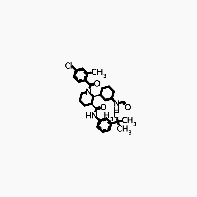 Cc1cc(Cl)ccc1C(=O)N1CCC[C@H](C(=O)Nc2cccc(C(C)(C)C)c2)[C@@H]1C1CCCC(NC=O)C1